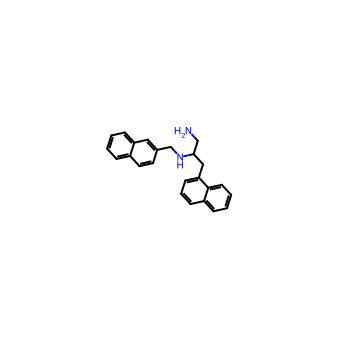 NCC(Cc1cccc2ccccc12)NCc1ccc2ccccc2c1